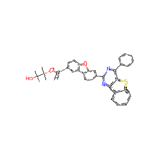 CC(C)(O)C(C)(C)OBc1ccc2oc3cc(-c4nc(-c5ccccc5)c5sc6ccccc6c5n4)ccc3c2c1